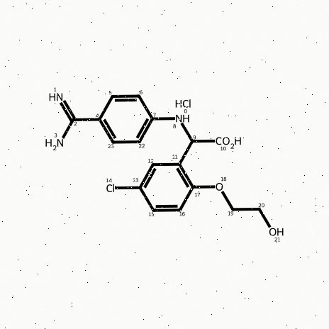 Cl.N=C(N)c1ccc(NC(C(=O)O)c2cc(Cl)ccc2OCCO)cc1